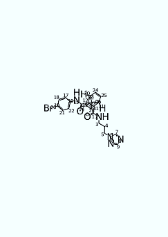 O=C(NCCCn1cncn1)[C@H]1[C@H](C(=O)Nc2ccc(Br)cc2)[C@@H]2C=C[C@H]1C21CC1